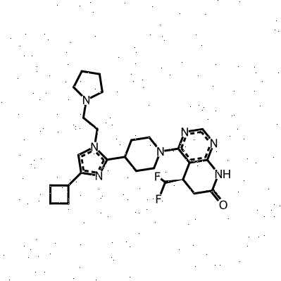 O=C1C[C@@H](C(F)F)c2c(ncnc2N2CCC(c3nc(C4CCC4)cn3CCN3CCCC3)CC2)N1